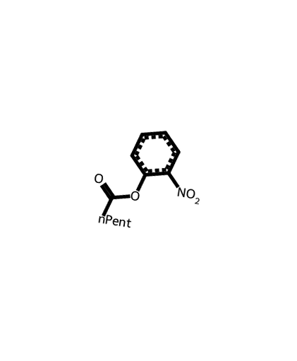 CCCCCC(=O)Oc1ccccc1[N+](=O)[O-]